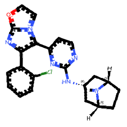 CN1[C@@H]2CC[C@H]1C[C@@H](Nc1nccc(-c3c(-c4ccccc4Cl)nc4occn34)n1)C2